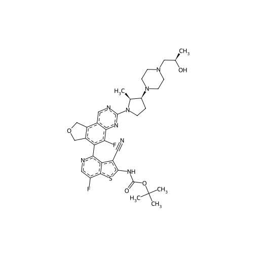 C[C@@H](O)CN1CCN([C@H]2CCN(c3ncc4c5c(c(-c6ncc(F)c7sc(NC(=O)OC(C)(C)C)c(C#N)c67)c(F)c4n3)COC5)[C@H]2C)CC1